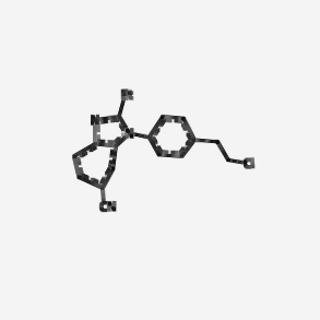 CCc1nc2ccc(C#N)cc2n1-c1ccc(CCCl)cc1